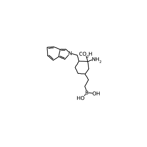 NC1(C(=O)O)CC(CCB(O)O)CCC1Cn1cc2ccccc2c1